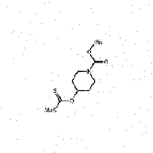 CSC(=S)OC1CCN(C(=O)OC(C)(C)C)CC1